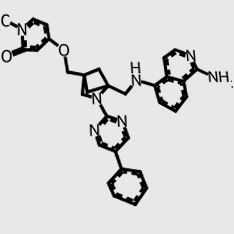 Cn1ccc(OCC23CN(c4ncc(-c5ccccc5)cn4)C(CNc4cccc5c(N)nccc45)(C2)C3)cc1=O